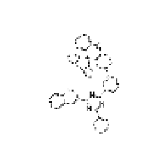 C1=CCCC(c2nc(-c3cccc(C4=CC5=C(CC4)Oc4ccccc4C54c5ccccc5-c5ccccc54)c3)nc(-c3ccc4ccccc4c3)n2)=C1